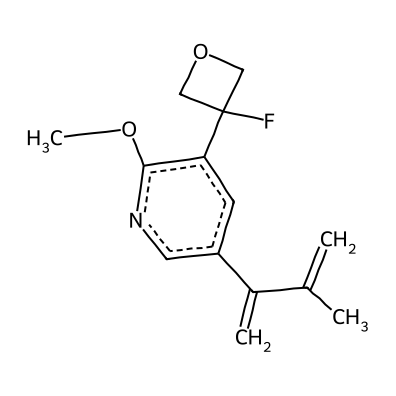 C=C(C)C(=C)c1cnc(OC)c(C2(F)COC2)c1